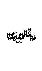 CC(C)n1ncnc1C1CN2CCOc3cc(NCC(O)c4nccn4C)ncc3C2=N1